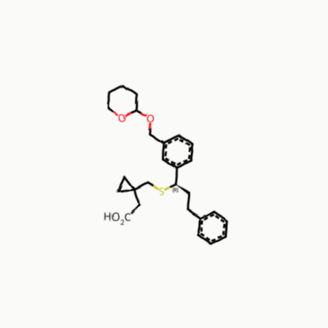 O=C(O)CC1(CS[C@H](CCc2ccccc2)c2cccc(COC3CCCCO3)c2)CC1